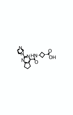 O=C(N[C@H]1C[C@H](C(=O)O)C1)c1nc(-n2ccnc2)nc2c1CCC2